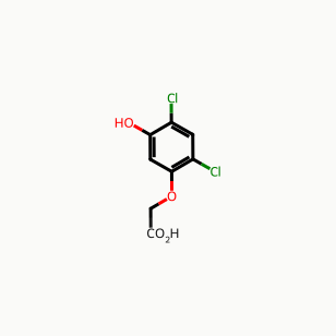 O=C(O)COc1cc(O)c(Cl)cc1Cl